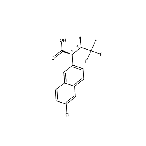 C[C@H]([C@H](C(=O)O)c1ccc2cc(Cl)ccc2c1)C(F)(F)F